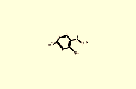 CC(C)(C)c1ccc(NC=O)c(C(C)(C)C)c1